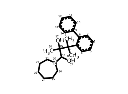 CC(C)(c1ccccc1-c1ccccc1)C(C)(O)C(O)N1CCCCCC1